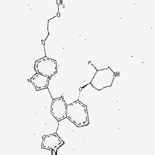 COCCOc1ccn2c(-c3cc(-c4cnco4)c4cccc(O[C@@H]5CCNCC5F)c4n3)cnc2c1